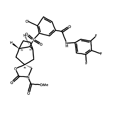 COC(=O)N1C[C@]2(CC3CC[C@@H](C2)[C@H]3S(=O)(=O)c2cc(C(=O)Nc3cc(F)c(F)c(F)c3)ccc2Cl)OC1=O